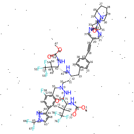 COC(=O)N[C@H](C(=O)NN(C[CH][C@@H](Cc1ccc(C#Cc2cnc(N3CC4CCC(C3)N4C3COC3)nc2)cc1)NC[C@@H](NC(=O)OC)C(C)(C)C(F)(F)F)Cc1c(F)cc(-c2ccn(C(F)F)n2)cc1F)C(C)(C)C(F)(F)F